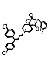 C=C1N(Cc2ccccc2)C(=O)OC12CCN(CCC=C(c1ccc(Cl)cc1)c1ccc(Cl)cc1)CC2